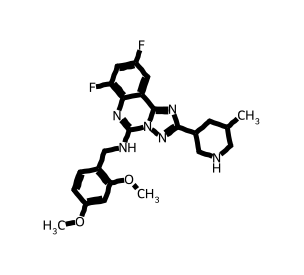 COc1ccc(CNc2nc3c(F)cc(F)cc3c3nc(C4CNCC(C)C4)nn23)c(OC)c1